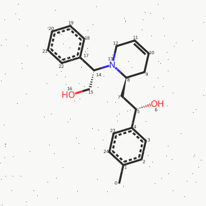 Cc1ccc([C@@H](O)C[C@@H]2CC=CCN2[C@H](CO)c2ccccc2)cc1